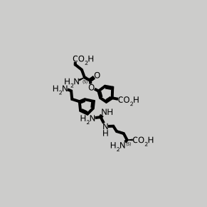 N=C(N)NCCC[C@H](N)C(=O)O.NCCc1ccccc1.N[C@@H](CCC(=O)O)C(=O)Oc1ccc(C(=O)O)cc1